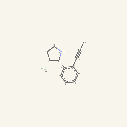 CC#Cc1ccccc1[C@@H]1CCCN1.Cl